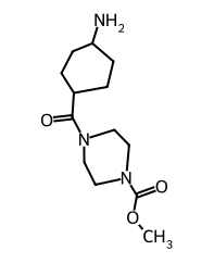 COC(=O)N1CCN(C(=O)C2CCC(N)CC2)CC1